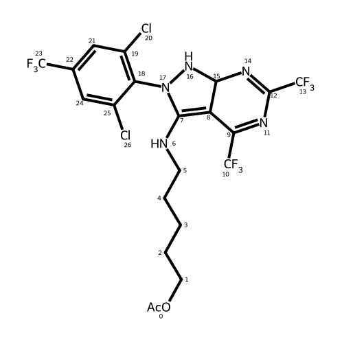 CC(=O)OCCCCCNC1=C2C(C(F)(F)F)=NC(C(F)(F)F)=NC2NN1c1c(Cl)cc(C(F)(F)F)cc1Cl